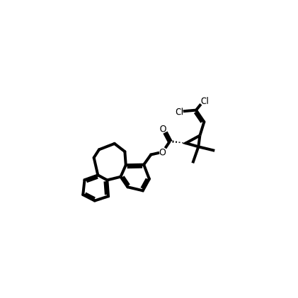 CC1(C)C(C=C(Cl)Cl)[C@H]1C(=O)OCc1cccc2c1CCCCc1ccccc1-2